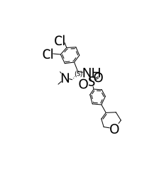 CN(C)C[C@@H](NS(=O)(=O)c1ccc(C2=CCOCC2)cc1)c1ccc(Cl)c(Cl)c1